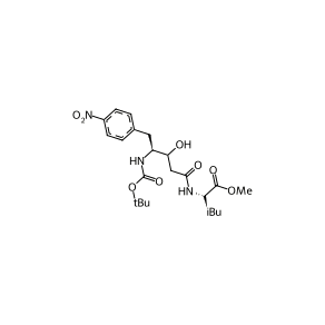 CC[C@H](C)[C@H](NC(=O)CC(O)[C@H](Cc1ccc([N+](=O)[O-])cc1)NC(=O)OC(C)(C)C)C(=O)OC